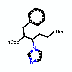 CCCCCCCCCCCCC(C(CCCCCCCCCC)Cc1ccccc1)n1ccnc1